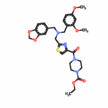 CCOC(=O)N1CCN(C(=O)c2csc(CN(Cc3ccc4c(c3)OCO4)Cc3ccc(OC)cc3OC)n2)CC1